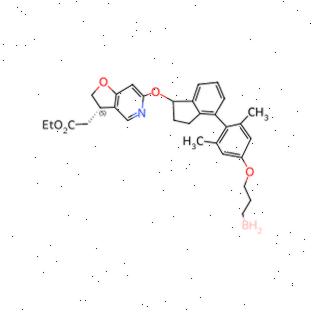 BCCCOc1cc(C)c(-c2cccc3c2CCC3Oc2cc3c(cn2)[C@H](CC(=O)OCC)CO3)c(C)c1